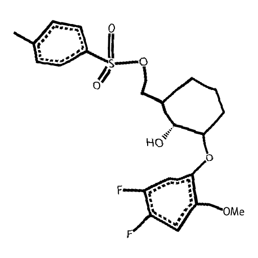 COc1cc(F)c(F)cc1OC1CCCC(COS(=O)(=O)c2ccc(C)cc2)[C@H]1O